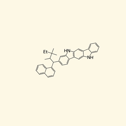 CCC(C)(C)C(C)C(c1ccc2c(c1)[nH]c1cc3c(cc12)[nH]c1ccccc13)c1cccc2ccccc12